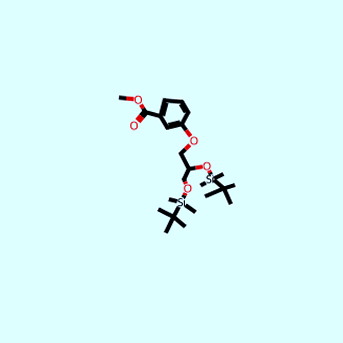 COC(=O)c1cccc(OCC(CO[Si](C)(C)C(C)(C)C)O[Si](C)(C)C(C)(C)C)c1